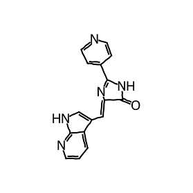 O=C1NC(c2ccncc2)=NC1=Cc1c[nH]c2ncccc12